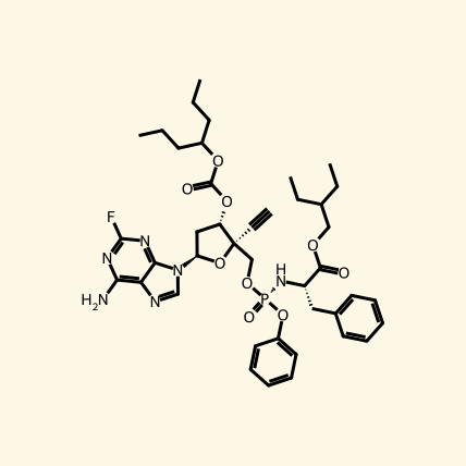 C#C[C@]1(CO[P@@](=O)(N[C@@H](Cc2ccccc2)C(=O)OCC(CC)CC)Oc2ccccc2)O[C@@H](n2cnc3c(N)nc(F)nc32)C[C@@H]1OC(=O)OC(CCC)CCC